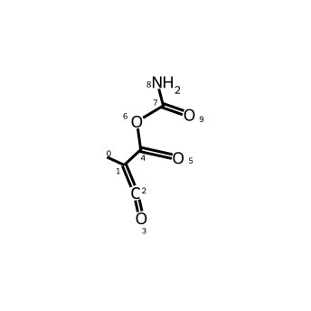 CC(=C=O)C(=O)OC(N)=O